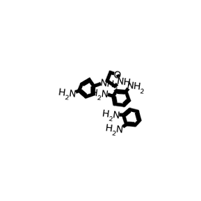 C1CNOC1.Nc1ccc(N)cc1.Nc1cccc(N)c1.Nc1ccccc1N